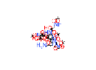 CN(C(=O)OC(C)(C)C)[C@@H]1[C@@H](O)[C@@H](O[C@@H]2[C@@H](O)[C@H](C3OC(CN)=CC[C@H]3NCC3COC(C)(C)N3C(=O)OC(C)(C)C)[C@@H](NC(=O)OC(C)(C)C)C[C@H]2NC(=O)[C@@H](O)CCNC(=O)OC(C)(C)C)OC[C@]1(C)O